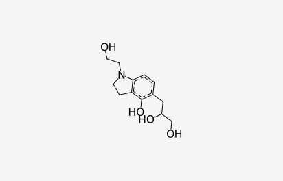 OCCN1CCc2c1ccc(CC(O)CO)c2O